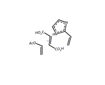 C=COC(C)=O.C=Cc1ncc[nH]1.O=C(O)/C=C/C(=O)O